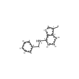 Cc1csc2c(NCc3ccccc3)nnnc12